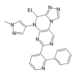 CCC1c2nncn2-c2cnc(-c3cccnc3-c3ccccc3)nc2N1c1cnn(C)c1